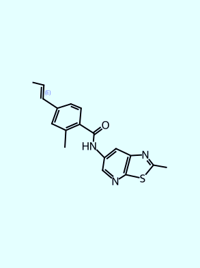 C/C=C/c1ccc(C(=O)Nc2cnc3sc(C)nc3c2)c(C)c1